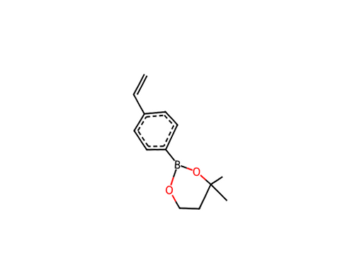 C=Cc1ccc(B2OCCC(C)(C)O2)cc1